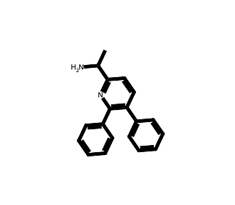 CC(N)c1ccc(-c2ccccc2)c(-c2ccccc2)n1